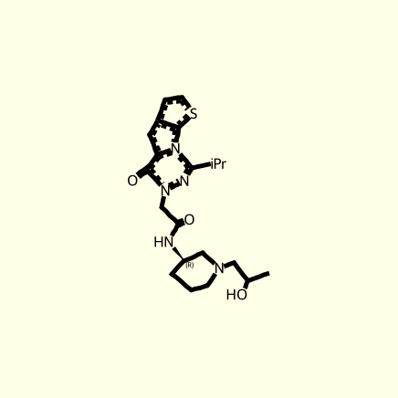 CC(O)CN1CCC[C@@H](NC(=O)Cn2nc(C(C)C)n3c(cc4ccsc43)c2=O)C1